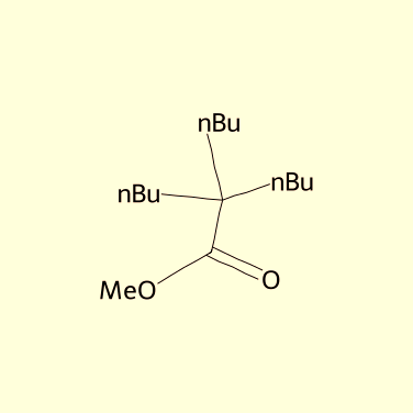 CCCCC(CCCC)(CCCC)C(=O)OC